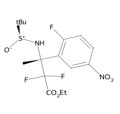 CCOC(=O)C(F)(F)[C@](C)(N[S@@+]([O-])C(C)(C)C)c1cc([N+](=O)[O-])ccc1F